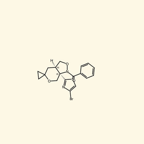 O=C(c1ccccc1)N1OC[C@@H]2CC3(CC3)OC[C@@]21c1nc(Br)cs1